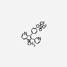 Cn1c(-c2cccnc2)c(-c2ccc(OS(=O)(=O)C(F)(F)F)cc2)c2ncccc21